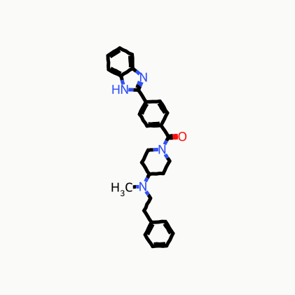 CN(CCc1ccccc1)C1CCN(C(=O)c2ccc(-c3nc4ccccc4[nH]3)cc2)CC1